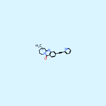 C[C@H]1CCCn2c(nc3cc(C#Cc4ccccn4)ccc3c2=O)C1